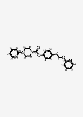 O=C(Oc1ccc(CCOc2ccccn2)cc1)N1CCN(c2ccccn2)CC1